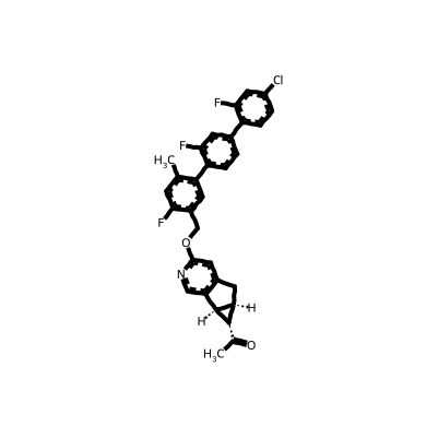 CC(=O)[C@H]1[C@@H]2Cc3cc(OCc4cc(-c5ccc(-c6ccc(Cl)cc6F)cc5F)c(C)cc4F)ncc3[C@@H]21